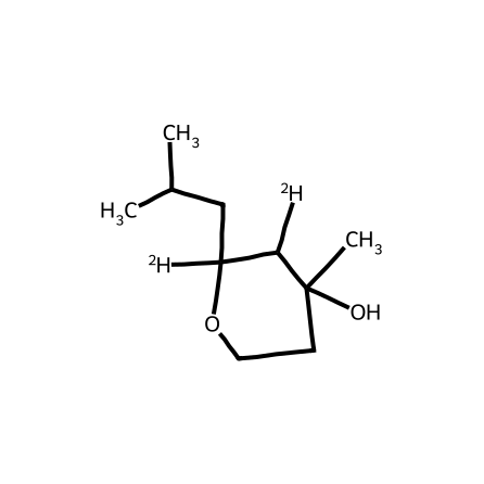 [2H]C1C(C)(O)CCOC1([2H])CC(C)C